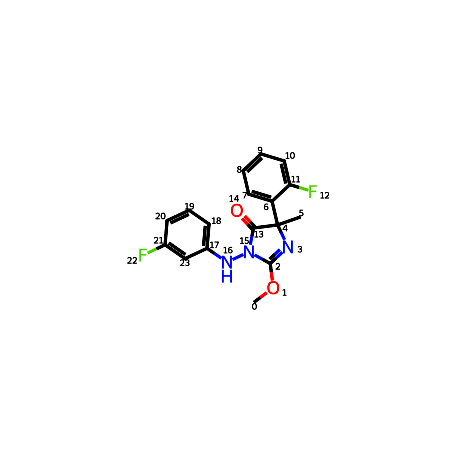 COC1=NC(C)(c2ccccc2F)C(=O)N1Nc1cccc(F)c1